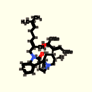 CC[C@@H]1CN2CC[C@]3(C(=O)N(C/C(C)=C/CCC=C(C)C)c4ccccc43)[C@@H]2C[C@@H]1/C(=C\OC)C(=O)OC